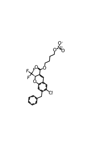 O=C(OCCCCO[N+](=O)[O-])C1=Cc2cc(Cl)c(Cc3ccccc3)cc2O[C@H]1C(F)(F)F